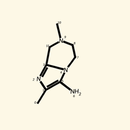 Cc1nc2n(c1N)CCN(C)C2